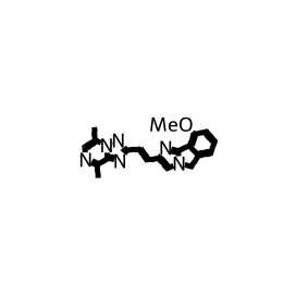 COc1cccc2c1-c1nc(C=Cc3nc4c(C)ncc(C)n4n3)cn1C2